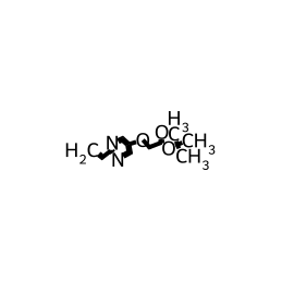 C=Cc1ncc(OCC(=O)OC(C)(C)C)cn1